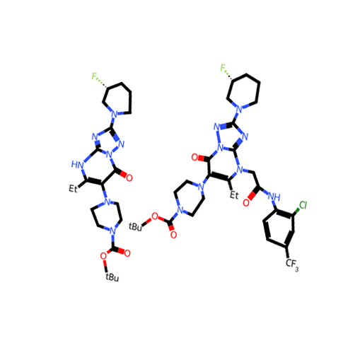 CCc1[nH]c2nc(N3CCC[C@@H](F)C3)nn2c(=O)c1N1CCN(C(=O)OC(C)(C)C)CC1.CCc1c(N2CCN(C(=O)OC(C)(C)C)CC2)c(=O)n2nc(N3CCC[C@@H](F)C3)nc2n1CC(=O)Nc1ccc(C(F)(F)F)cc1Cl